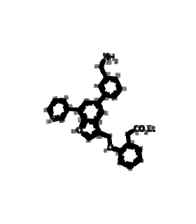 CCOC(=O)Cc1ccccc1OCc1coc2c(-c3cccnc3)cc(-c3cccc(CN)c3)cc12